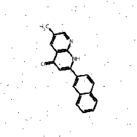 Cc1cnc2[nH]c(-c3ccc4ccccc4c3)cc(=O)c2c1